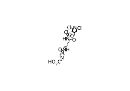 O=C(O)CN1CCN(C(=O)NCCCC[C@H](NC(=O)CCl)C(=O)OCc2cc(Cl)nc(Cl)c2)CC1